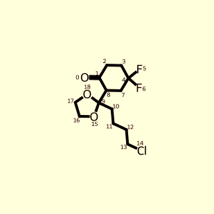 O=C1CCC(F)(F)CC1C1(CCCCCl)OCCO1